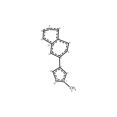 Cn1cc(-c2ccc3cnccc3c2)cn1